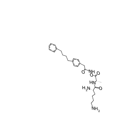 C[C@H](NC(=O)[C@@H](N)CCCCN)C(=O)ONC(=O)Cc1ccc(CCCCc2ccccc2)cc1